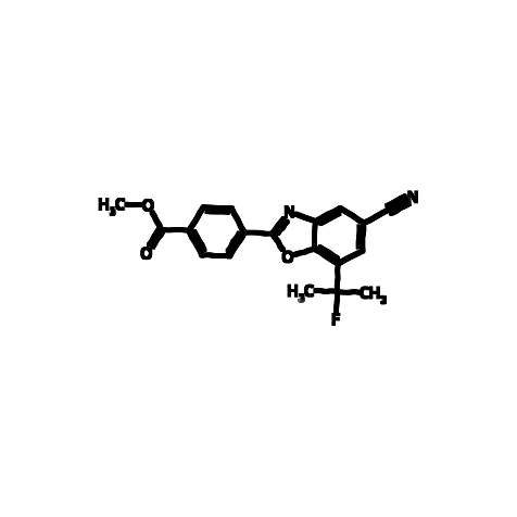 COC(=O)c1ccc(-c2nc3cc(C#N)cc(C(C)(C)F)c3o2)cc1